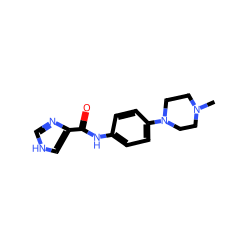 CN1CCN(c2ccc(NC(=O)c3c[nH]cn3)cc2)CC1